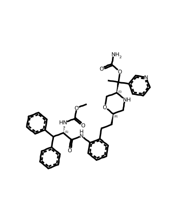 COC(=O)N[C@H](C(=O)Nc1ccccc1CC[C@@H]1CN[C@H](C(C)(OC(N)=O)c2cccnc2)CO1)C(c1ccccc1)c1ccccc1